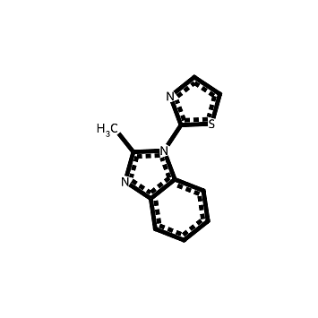 Cc1nc2ccccc2n1-c1nccs1